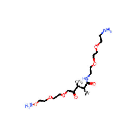 CC(C)C(C(=O)NCCOCCOCCN)C(C)C(=O)COCCOCCON